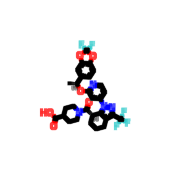 C[C@H](Oc1cc(-n2nc(C(F)(F)F)c3c2[C@H](C(=O)N2CCC(C(=O)O)CC2)CCC3)ccn1)c1ccc2c(c1)OC(F)(F)O2